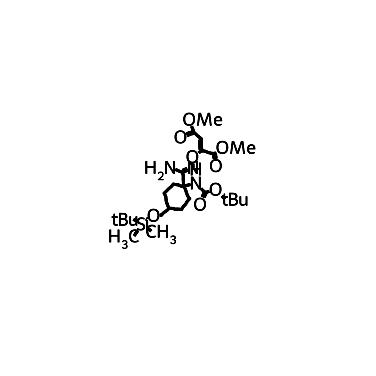 COC(=O)/C=C(\O/N=C(\N)C1(NC(=O)OC(C)(C)C)CCC(CO[Si](C)(C)C(C)(C)C)CC1)C(=O)OC